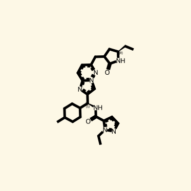 CC[C@@H]1CC(Cc2ccc3nc([C@@H](NC(=O)c4ccnn4CC)C4CCC(C)CC4)cn3n2)C(=O)N1